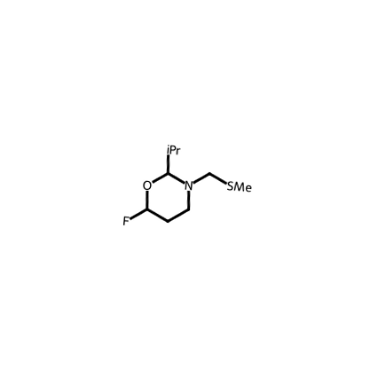 CSCN1CCC(F)OC1C(C)C